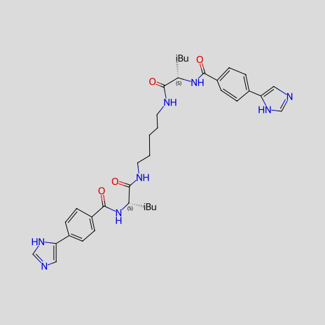 CCC(C)[C@H](NC(=O)c1ccc(-c2cnc[nH]2)cc1)C(=O)NCCCCCNC(=O)[C@@H](NC(=O)c1ccc(-c2cnc[nH]2)cc1)C(C)CC